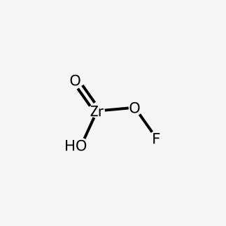 [O]=[Zr]([OH])[O]F